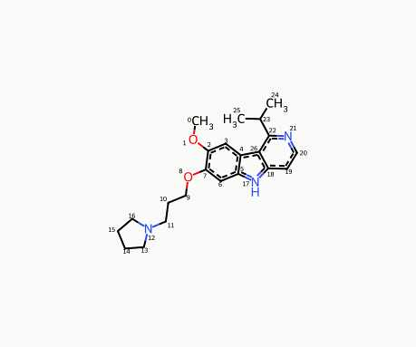 COc1cc2c(cc1OCCCN1CCCC1)[nH]c1ccnc(C(C)C)c12